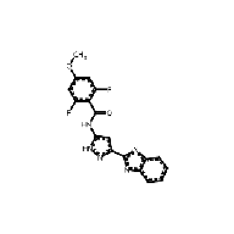 COc1cc(F)c(C(=O)Nc2cc(-c3nc4ccccc4[nH]3)n[nH]2)c(F)c1